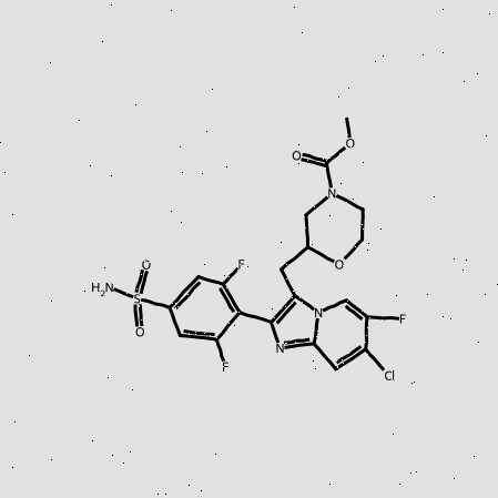 COC(=O)N1CCOC(Cc2c(-c3c(F)cc(S(N)(=O)=O)cc3F)nc3cc(Cl)c(F)cn23)C1